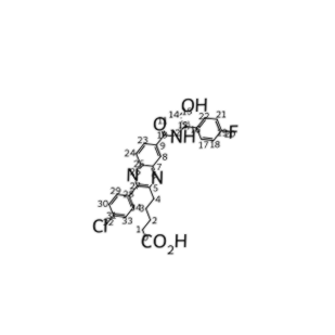 O=C(O)CCCCc1nc2cc(C(=O)N[C@H](CO)c3ccc(F)cc3)ccc2nc1-c1ccc(Cl)cc1